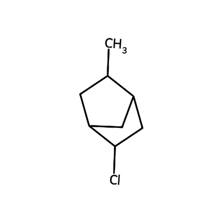 CC1CC2CC1CC2Cl